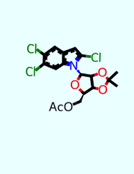 CC(=O)OC[C@H]1O[C@@H](n2c(Cl)cc3cc(Cl)c(Cl)cc32)C2OC(C)(C)OC21